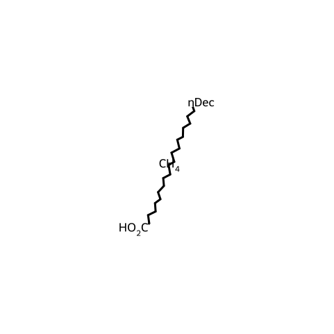 C.CCCCCCCCCCCCCCCCCCCCCCCCCCCCCC(=O)O